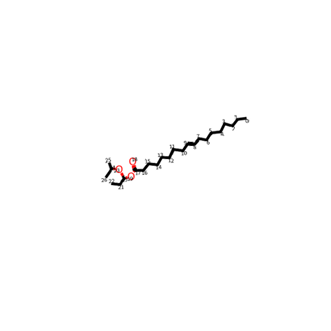 CCCCCCCC/C=C/CCCCCCCC(=O)OC(CC)OC(C)C